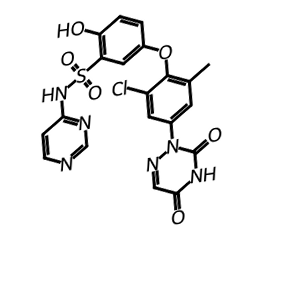 Cc1cc(-n2ncc(=O)[nH]c2=O)cc(Cl)c1Oc1ccc(O)c(S(=O)(=O)Nc2ccncn2)c1